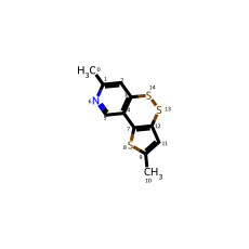 Cc1cc2c(cn1)-c1sc(C)cc1SS2